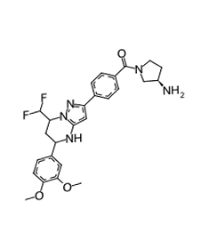 COc1ccc(C2CC(C(F)F)n3nc(-c4ccc(C(=O)N5CC[C@@H](N)C5)cc4)cc3N2)cc1OC